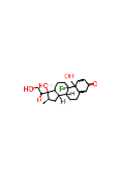 C[C@@H]1C[C@H]2[C@H]3CCC4=CC(=O)C=CC4(C)[C@@]3(F)[C@@H](O)C[C@]2(C)[C@@]1(O)C(=O)CO